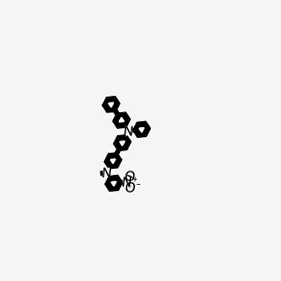 CN(c1ccc(-c2ccc(N(c3ccccc3)c3ccc(-c4ccccc4)cc3)cc2)cc1)c1cccc([N+](=O)[O-])c1